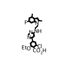 CCOc1cc(-c2cc(NCCn3c(C)cc4c(C)cc(F)cc43)ncn2)cc(Cl)c1C(=O)O